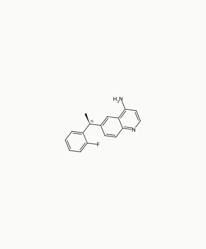 C[C@@H](c1ccc2nccc(N)c2c1)c1ccccc1F